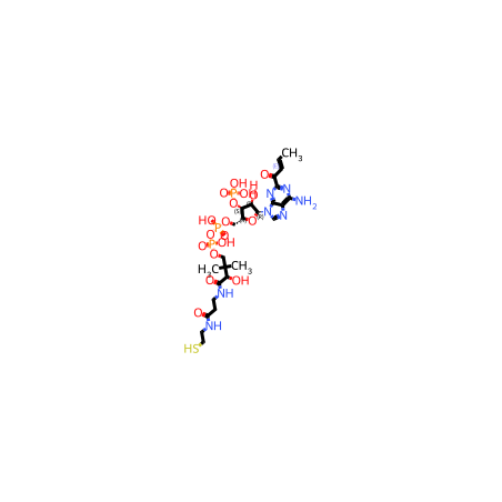 C/C=C/C(=O)c1nc(N)c2ncn([C@@H]3O[C@H](COP(=O)(O)OP(=O)(O)OCC(C)(C)C(O)C(=O)NCCC(=O)NCCS)[C@@H](OP(=O)(O)O)[C@H]3O)c2n1